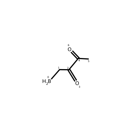 BCC(=O)C(C)=O